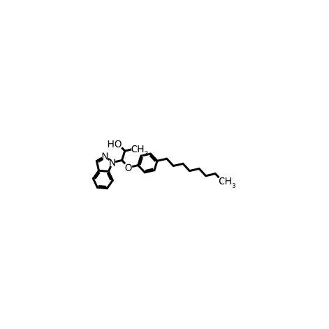 CCCCCCCCc1ccc(OC(C(C)O)n2ncc3ccccc32)cc1